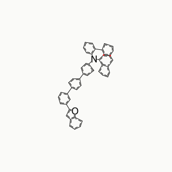 c1ccc(-c2ccccc2N(c2ccc(-c3ccc(-c4cccc(-c5cc6ccccc6o5)c4)cc3)cc2)c2cccc3ccccc23)cc1